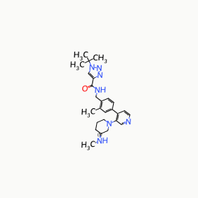 CN[C@H]1CCCN(c2cnccc2-c2ccc(CNC(=O)c3cn(C(C)(C)C)nn3)c(C)c2)C1